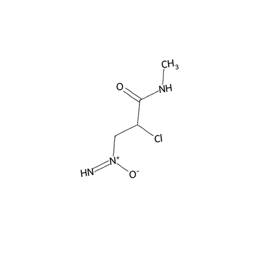 CNC(=O)C(Cl)C[N+](=N)[O-]